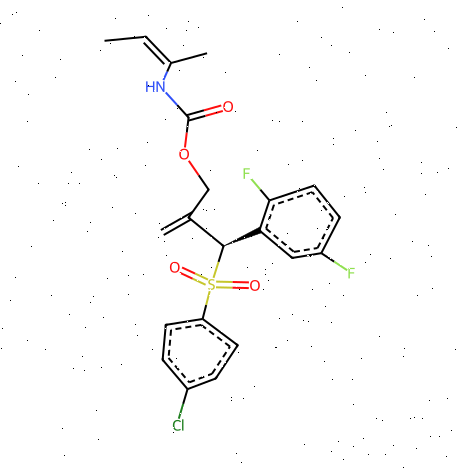 C=C(COC(=O)N/C(C)=C\C)[C@@H](c1cc(F)ccc1F)S(=O)(=O)c1ccc(Cl)cc1